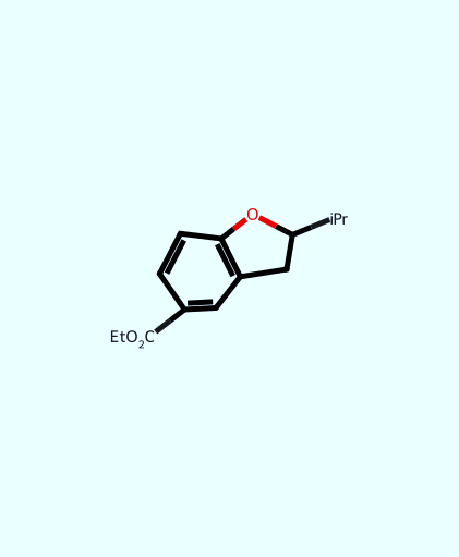 CCOC(=O)c1ccc2c(c1)CC(C(C)C)O2